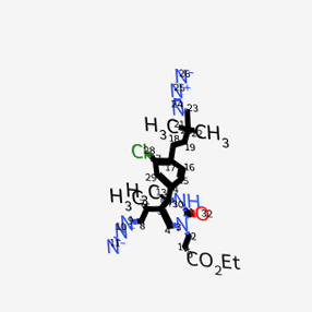 CCOC(=O)CCN1C=C(C(C)CN=[N+]=[N-])[C@](C)(c2ccc(CCC(C)(C)CN=[N+]=[N-])c(Cl)c2)NC1=O